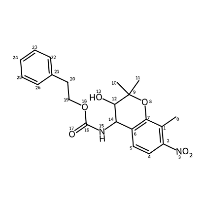 Cc1c([N+](=O)[O-])ccc2c1OC(C)(C)C(O)C2NC(=O)OCCc1ccccc1